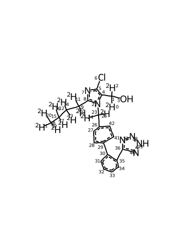 [2H]C([2H])(O)c1c(Cl)nc(C([2H])([2H])C([2H])([2H])C([2H])([2H])C([2H])([2H])[2H])n1C([2H])([2H])c1ccc(-c2ccccc2-c2nn[nH]n2)cc1